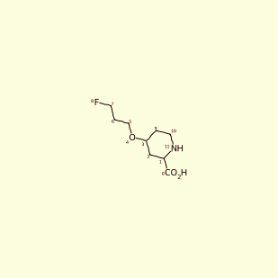 O=C(O)C1CC(OCCCF)CCN1